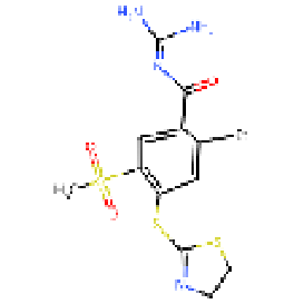 CCc1cc(SC2=NCCS2)c(S(C)(=O)=O)cc1C(=O)N=C(N)N